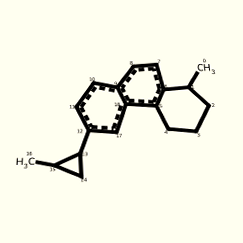 CC1CCCc2c1ccc1ccc(C3CC3C)cc21